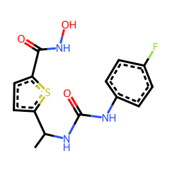 CC(NC(=O)Nc1ccc(F)cc1)c1ccc(C(=O)NO)s1